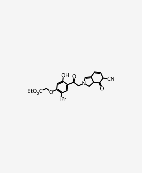 CCOC(=O)COc1cc(O)c(C(=O)CN2C=C3C=CC(C#N)C(=O)C3C2)cc1C(C)C